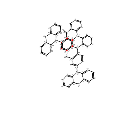 O=c1c2ccccc2n(-c2ccccc2N2c3ccc(N4c5ccccc5Sc5ccccc54)cc3Sc3cc(N4c5ccccc5Sc5ccccc54)ccc32)c2ccccc12